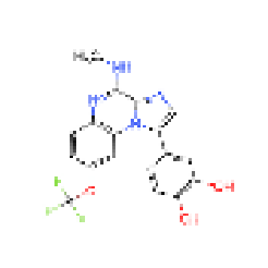 CNc1nc2ccc(OC(F)(F)F)cc2n2c(-c3ccc(O)c(O)c3)cnc12